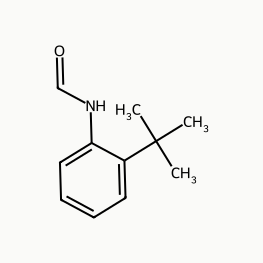 CC(C)(C)c1ccccc1NC=O